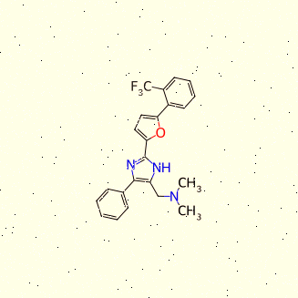 CN(C)Cc1[nH]c(-c2ccc(-c3ccccc3C(F)(F)F)o2)nc1-c1ccccc1